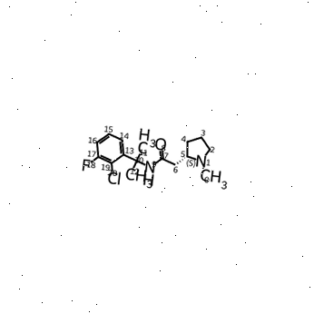 CN1CCC[C@H]1CC(=O)NC(C)(C)c1cccc(F)c1Cl